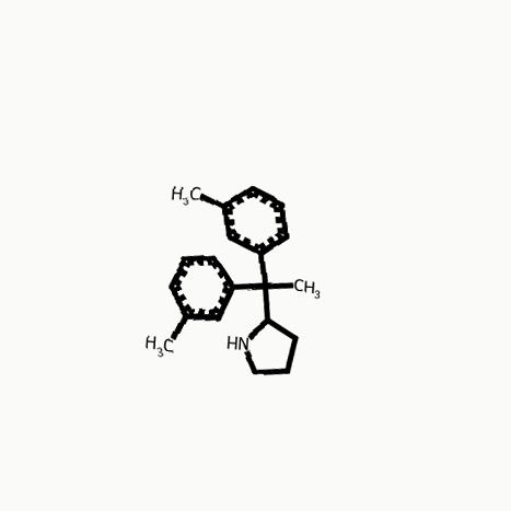 Cc1cccc(C(C)(c2cccc(C)c2)C2CCCN2)c1